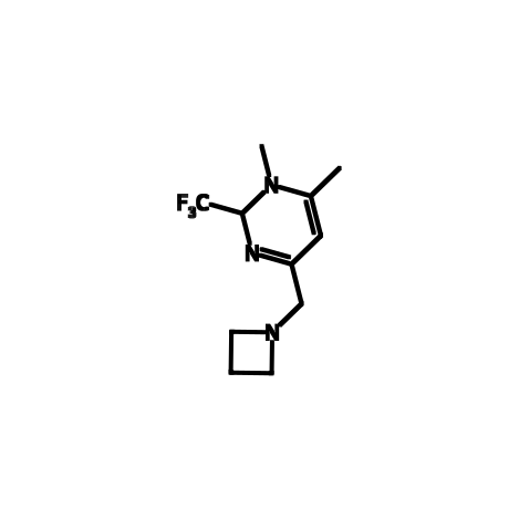 CC1=CC(CN2CCC2)=NC(C(F)(F)F)N1C